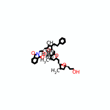 C=C1C(C[C@@H]2OC(C[C@@H](CN3C(=O)c4ccccc4C3=O)O[Si](C)(C)C(C)(C)C)[C@H](C)C2CCc2ccccc2)OC(CC[C@@H]2O[C@@H](CCCO)CC2=C)C[C@H]1C